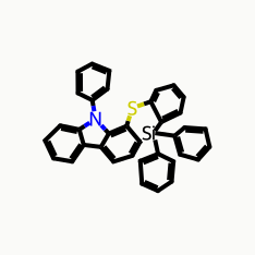 c1ccc(-n2c3ccccc3c3ccc4c(c32)Sc2ccccc2[Si]4(c2ccccc2)c2ccccc2)cc1